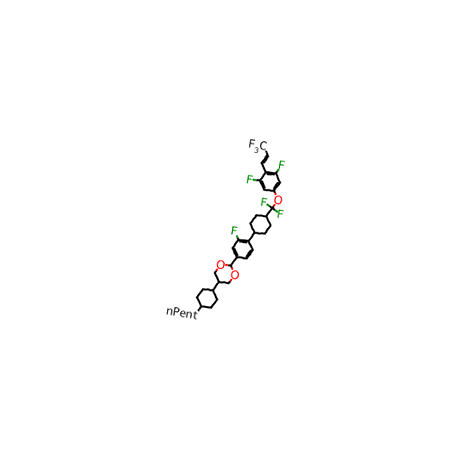 CCCCCC1CCC(C2COC(c3ccc(C4CCC(C(F)(F)Oc5cc(F)c(/C=C/C(F)(F)F)c(F)c5)CC4)c(F)c3)OC2)CC1